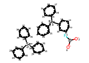 [O-]B([O-])F.c1ccc([Se+](c2ccccc2)c2ccccc2)cc1.c1ccc([Se+](c2ccccc2)c2ccccc2)cc1